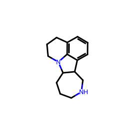 c1cc2c3c(c1)C1CNCCCC1N3CCC2